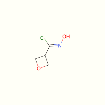 O/N=C(\Cl)C1COC1